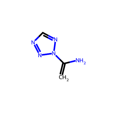 C=C(N)n1ncnn1